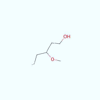 [CH2]CC(CCO)OC